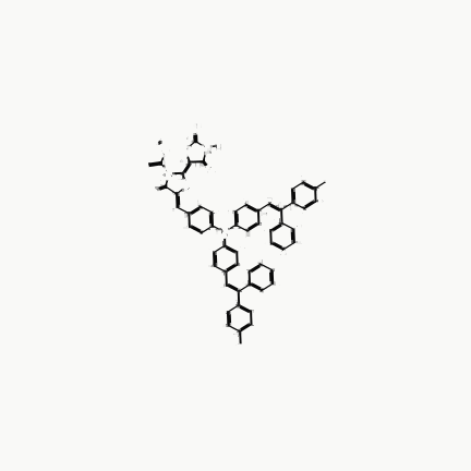 C=C(OO)n1c(=O)c(=Cc2ccc(N(c3ccc(/C=C(\c4ccccc4)c4ccc(C)cc4)cc3)c3ccc(/C=C(\c4ccccc4)c4ccc(C)cc4)cc3)cc2)s/c1=C1/SC(=S)N(CC)C1=O